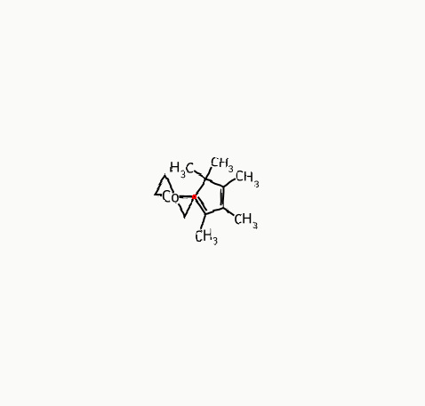 CC1=C(C)C(C)(C)[C]([Co]23([CH2][CH2]2)[CH2][CH2]3)=C1C